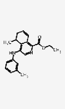 CCOC(=O)c1ncc(Nc2cccc(C)c2)c2c1C=CCC2C